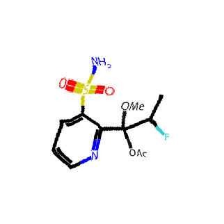 COC(OC(C)=O)(c1ncccc1S(N)(=O)=O)C(C)F